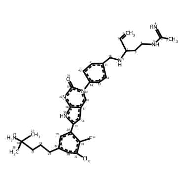 C=CC(CCNC(C)=N)NCc1ccc(-n2cc3cc(-c4cc(CCCC(C)(C)N)cc(Cl)c4F)[nH]c3nc2=O)cc1